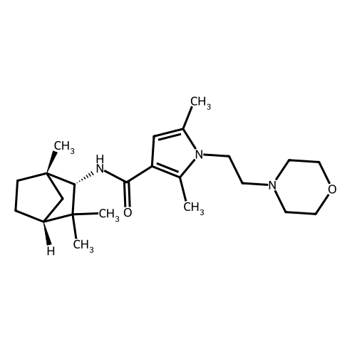 Cc1cc(C(=O)N[C@@H]2C(C)(C)[C@@H]3CC[C@@]2(C)C3)c(C)n1CCN1CCOCC1